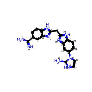 N=C(N)c1ccc2[nH]c(Cc3nc4cc(N5C=CNC5N)ccc4[nH]3)nc2c1